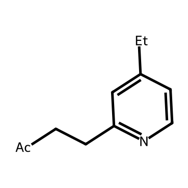 CCc1ccnc(CCC(C)=O)c1